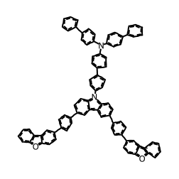 c1ccc(-c2ccc(N(c3ccc(-c4ccccc4)cc3)c3ccc(-c4ccc(-n5c6ccc(-c7ccc(-c8ccc9oc%10ccccc%10c9c8)cc7)cc6c6cc(-c7ccc(-c8ccc9oc%10ccccc%10c9c8)cc7)ccc65)cc4)cc3)cc2)cc1